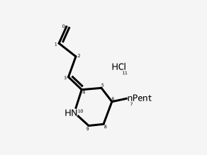 C=CCC=C1CC(CCCCC)CCN1.Cl